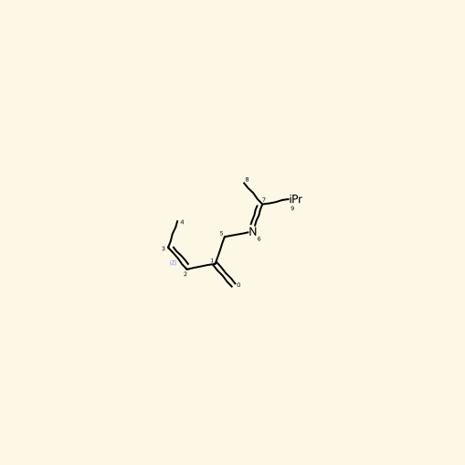 C=C(/C=C\C)CN=C(C)C(C)C